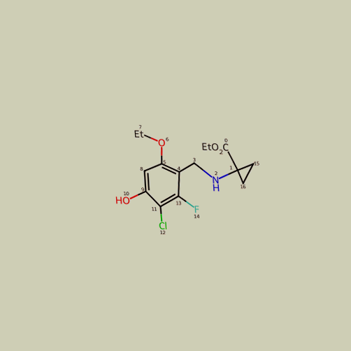 CCOC(=O)C1(NCc2c(OCC)cc(O)c(Cl)c2F)CC1